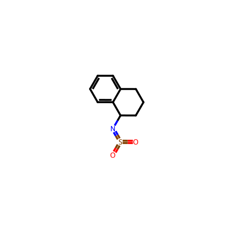 O=S(=O)=NC1CCCc2ccccc21